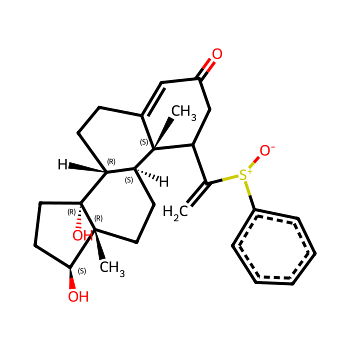 C=C(C1CC(=O)C=C2CC[C@@H]3[C@H](CC[C@]4(C)[C@@H](O)CC[C@@]34O)[C@]21C)[S+]([O-])c1ccccc1